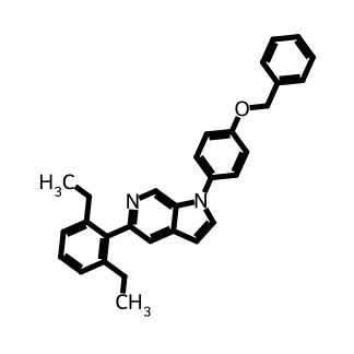 CCc1cccc(CC)c1-c1cc2ccn(-c3ccc(OCc4ccccc4)cc3)c2cn1